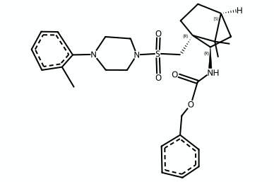 Cc1ccccc1N1CCN(S(=O)(=O)C[C@@]23CC[C@@H](C[C@H]2NC(=O)OCc2ccccc2)C3(C)C)CC1